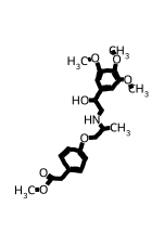 COC(=O)Cc1ccc(OCC(C)NCC(O)c2cc(OC)c(OC)c(OC)c2)cc1